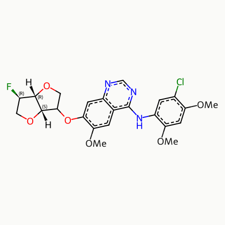 COc1cc(OC)c(Nc2ncnc3cc(OC4CO[C@H]5[C@H](F)CO[C@@H]45)c(OC)cc23)cc1Cl